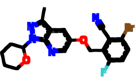 Cc1nn(C2CCCCO2)c2ncc(OCc3c(F)ccc(Br)c3C#N)cc12